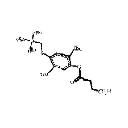 CCCC[Si](CCCC)(CCCC)CSc1cc(C(C)(C)C)c(OC(=O)CCC(=O)O)cc1C(C)(C)C